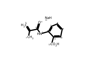 C=C(C)C(=O)Nc1ccccc1C(=O)O.[NaH]